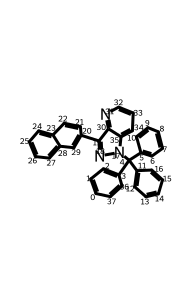 c1ccc(C(c2ccccc2)(c2ccccc2)n2nc(-c3ccc4ccccc4c3)c3ncccc32)cc1